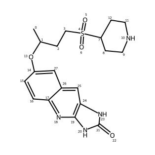 CC(CCS(=O)(=O)C1CCNCC1)Oc1ccc2nc3[nH]c(=O)[nH]c3cc2c1